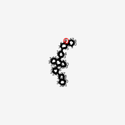 C1=Cc2c(oc3ccc(-c4ccc(-c5c6ccccc6c(-c6cccc(-c7ccc8ccccc8c7)c6)c6ccccc56)cc4)cc23)CC1